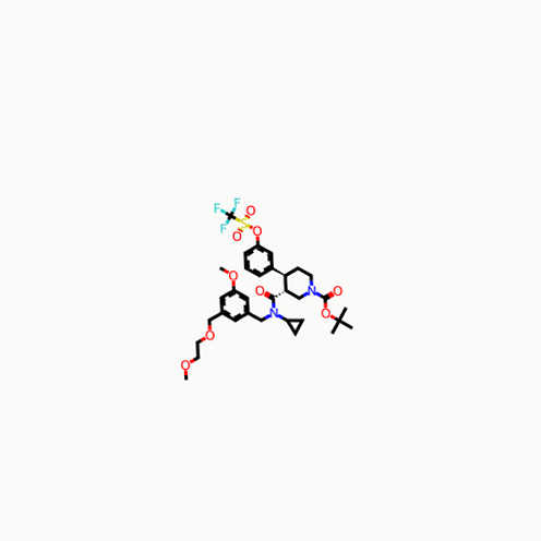 COCCOCc1cc(CN(C(=O)[C@H]2CN(C(=O)OC(C)(C)C)CC[C@@H]2c2cccc(OS(=O)(=O)C(F)(F)F)c2)C2CC2)cc(OC)c1